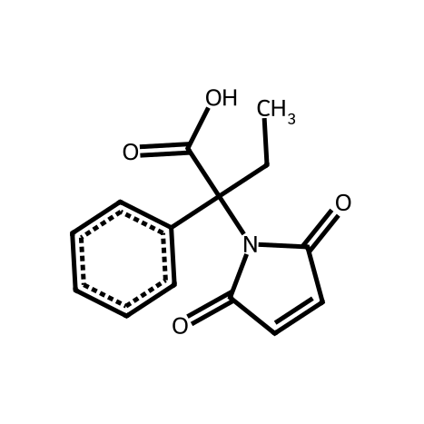 CCC(C(=O)O)(c1ccccc1)N1C(=O)C=CC1=O